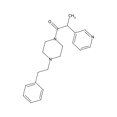 CC(C(=O)N1CCN(CCc2ccccc2)CC1)c1cccnc1